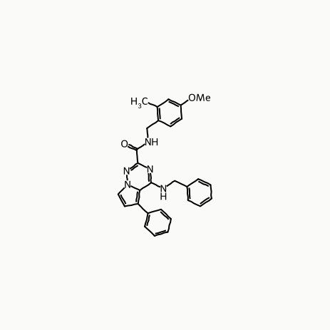 COc1ccc(CNC(=O)c2nc(NCc3ccccc3)c3c(-c4ccccc4)ccn3n2)c(C)c1